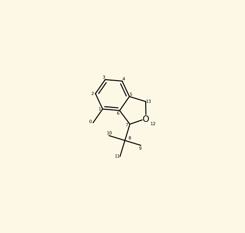 Cc1cccc2c1C(C(C)(C)C)OC2